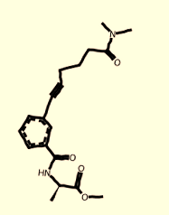 COC(=O)[C@@H](C)NC(=O)c1cccc(C#CCCCC(=O)N(C)C)c1